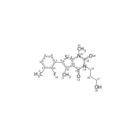 Cc1cccc(-c2sc3c(c2C)c(=O)n(CCCO)c(=O)n3C)c1F